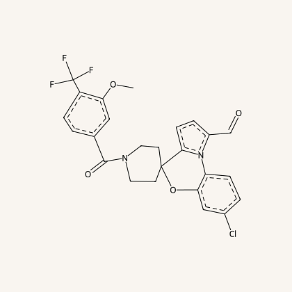 COc1cc(C(=O)N2CCC3(CC2)Oc2cc(Cl)ccc2-n2c(C=O)ccc23)ccc1C(F)(F)F